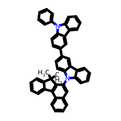 CC1(C)c2ccccc2-c2c1c(-n1c3ccccc3c3cc(-c4ccc5c(c4)c4ccccc4n5-c4ccccc4)ccc31)cc1ccccc21